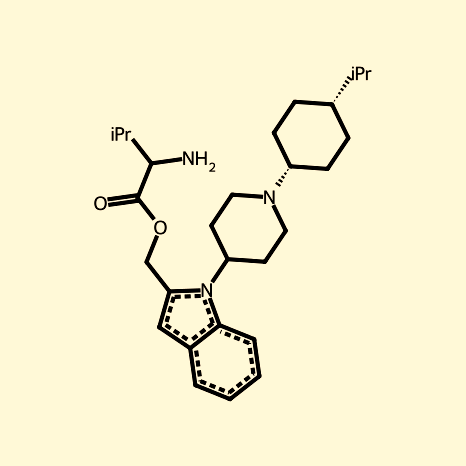 CC(C)C(N)C(=O)OCc1cc2ccccc2n1C1CCN([C@H]2CC[C@@H](C(C)C)CC2)CC1